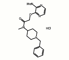 CNc1nccnc1OCC(=O)N(C)C1CCN(Cc2ccccc2)CC1.Cl